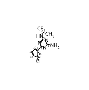 C[C@@H](Nc1nc(N)nc(-c2cccc(Cl)n2)n1)C(F)(F)F